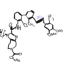 COc1cc(/C=C/c2cccc(-c3cccc(NC(=O)c4nc5c(n4C)CCN(C(=O)OC(C)(C)C)C5)c3Cl)c2C)c(C(F)(F)F)cc1C=O